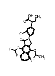 CCC(C(=O)O)c1ccc(N2Cc3c(c(OC(F)F)c4ccccc4c3OC(C)C)C2=O)c(Cl)c1